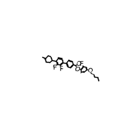 CCCCCOc1ccc(OC(=O)c2ccc(-c3ccc(C4CCC(C)CC4)c(F)c3F)cc2)c(F)c1